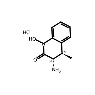 C[C@@H]1c2ccccc2N(O)C(=O)[C@H]1N.Cl